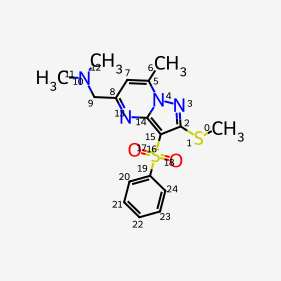 CSc1nn2c(C)cc(CN(C)C)nc2c1S(=O)(=O)c1ccccc1